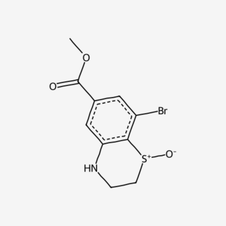 COC(=O)c1cc(Br)c2c(c1)NCC[S+]2[O-]